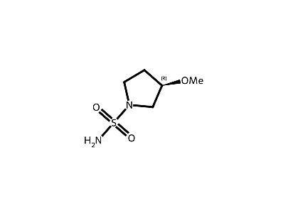 CO[C@@H]1CCN(S(N)(=O)=O)C1